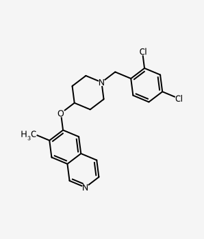 Cc1cc2cnccc2cc1OC1CCN(Cc2ccc(Cl)cc2Cl)CC1